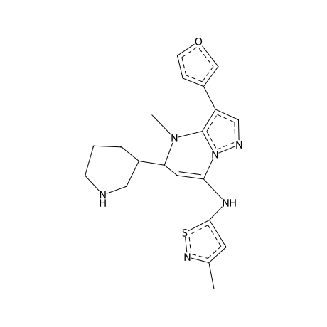 Cc1cc(NC2=CC(C3CCCNC3)N(C)c3c(-c4ccoc4)cnn32)sn1